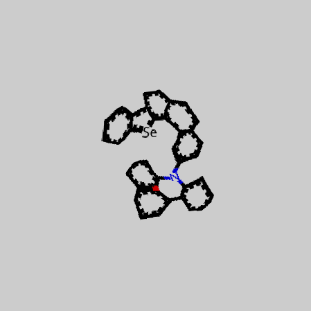 c1ccc(-c2ccccc2N(c2ccccc2)c2ccc3ccc4ccc5c6ccccc6[se]c5c4c3c2)cc1